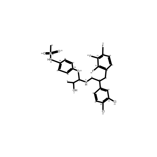 CC(O)C(NCC(Cc1ccc(F)c(F)c1F)c1ccc(Cl)c(Cl)c1)Oc1ccc(NS(C)(=O)=O)cc1